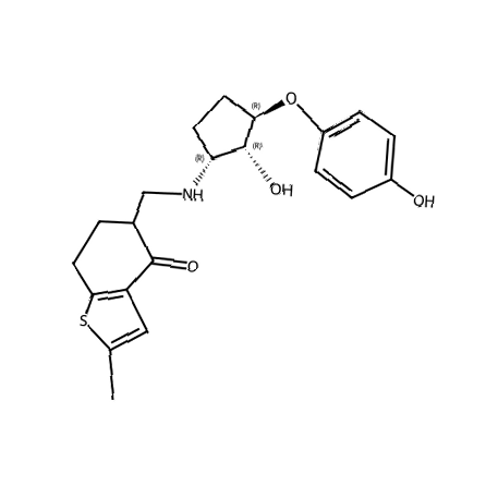 Cc1cc2c(s1)CCC(CN[C@@H]1CC[C@@H](Oc3ccc(O)cc3)[C@@H]1O)C2=O